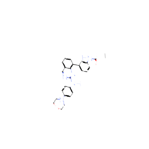 CC(=O)Nc1cccc(-c2cccc3cnc(Nc4ccc(N5CCOCC5)cc4)nc23)c1